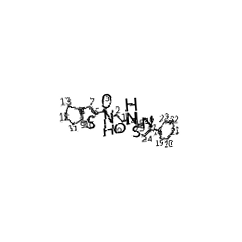 O=C(CNC(=O)c1cc2c(s1)CCC2)Nc1nc(-c2ccccc2)cs1